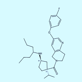 CCCC(CCC)N[C@@H]1CC[C@@](C(=O)N2CCc3ncc(Oc4ccc(F)cc4)cc3C2)(C(C)C)C1